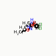 C=CCCCOc1ncc(C(C)NS(=O)(=O)c2ccc(Cl)c(Cl)c2)n1CC